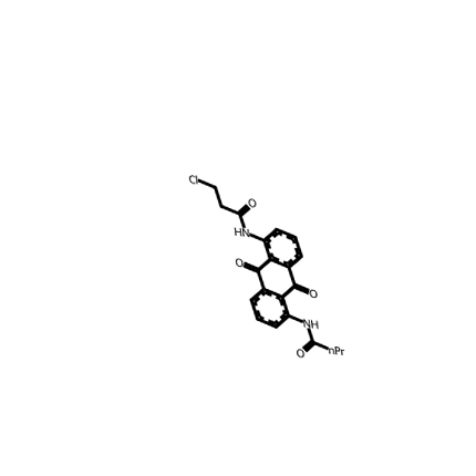 CCCC(=O)Nc1cccc2c1C(=O)c1cccc(NC(=O)CCCl)c1C2=O